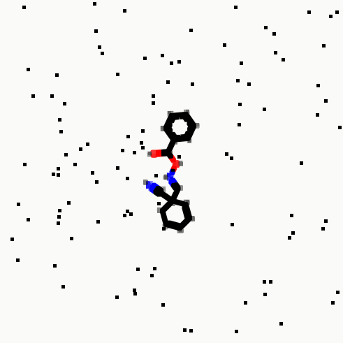 N#CC1(/C=N/OC(=O)c2ccccc2)C=CC=CC1